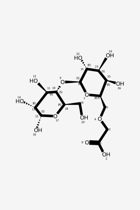 O=C(O)COC[C@H]1O[C@@H](O[C@H]2[C@H](O)[C@@H](O)[C@@H](O)O[C@@H]2CO)[C@H](O)[C@@H](O)[C@H]1O